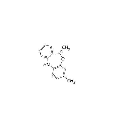 Cc1ccc2c(c1)OC(C)c1ccccc1N2